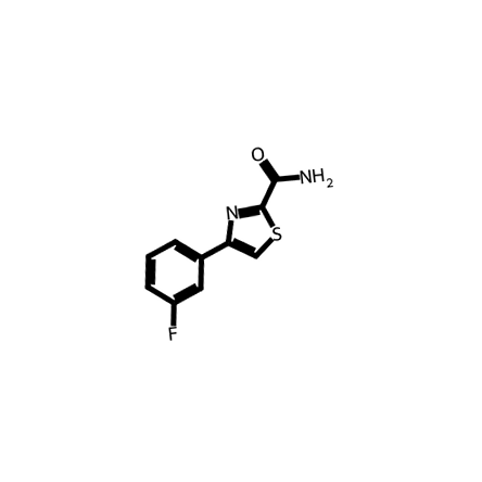 NC(=O)c1nc(-c2cccc(F)c2)cs1